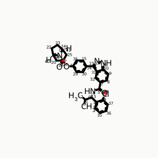 CC(C)[C@H](NC(=O)c1ccc2[nH]nc(-c3ccc(O[C@H]4C[C@H]5CC[C@@H](C4)N5C=O)cc3)c2c1)c1ccccc1Cl